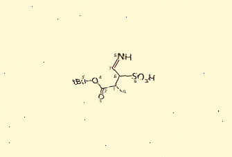 CC(C(=O)OC(C)(C)C)C(C=N)S(=O)(=O)O